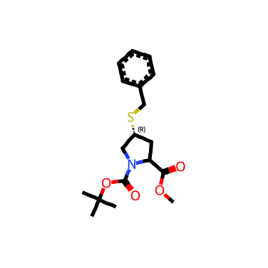 COC(=O)C1C[C@@H](SCc2ccccc2)CN1C(=O)OC(C)(C)C